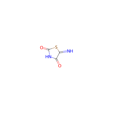 N=C1SC(=O)NC1=O